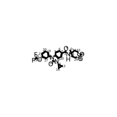 CC1(NC(=O)c2ccc3c(c2)n(C2CC2)c(=O)n3-c2cccc(OC(F)F)c2)CCS(=O)(=O)CC1